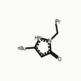 CCCCc1cc(=O)n(CC(C)C)[nH]1